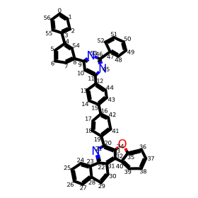 c1ccc(-c2cccc(-c3cc(-c4ccc(-c5ccc(-c6nc7c8ccccc8ccc7c7c6oc6ccccc67)cc5)cc4)nc(-c4ccccc4)n3)c2)cc1